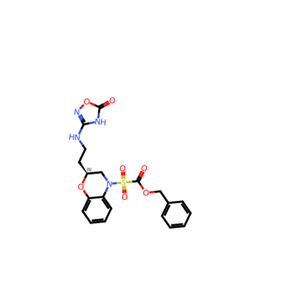 O=C(OCc1ccccc1)S(=O)(=O)N1C[C@H](CCNc2noc(=O)[nH]2)Oc2ccccc21